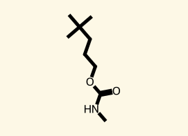 CNC(=O)OCCCC(C)(C)C